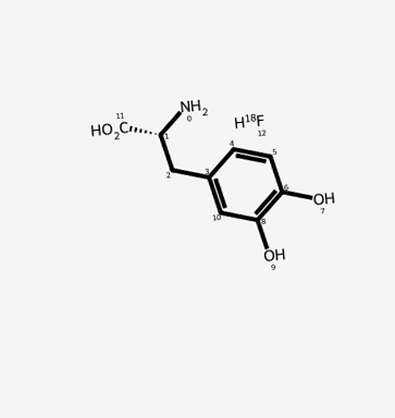 N[C@H](Cc1ccc(O)c(O)c1)C(=O)O.[18FH]